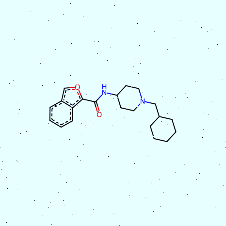 O=C(NC1CCN(CC2CCCCC2)CC1)c1occ2ccccc12